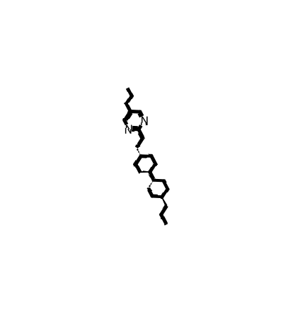 CCCc1cnc(CC[C@H]2CC[C@H]([C@H]3CC[C@H](CCC)CC3)CC2)nc1